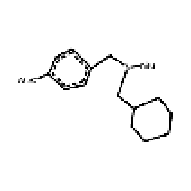 CCCCN(Cc1ccc(OC)cc1)CC1CCCCC1